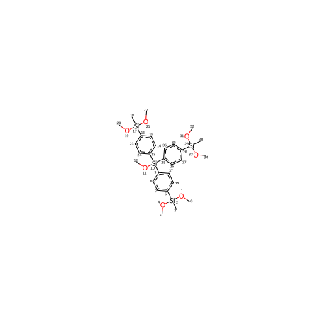 CO[Si](C)(OC)c1ccc([Si](OC)(c2ccc([Si](C)(OC)OC)cc2)c2ccc([Si](C)(OC)OC)cc2)cc1